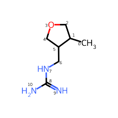 CC1COCC1CNC(=N)N